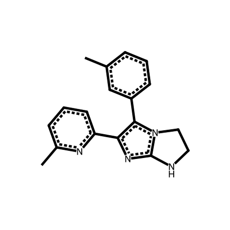 Cc1cccc(-c2c(-c3cccc(C)n3)nc3n2CCN3)c1